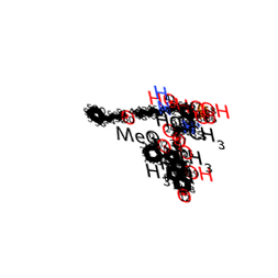 CO[C@@H](O[C@@H]1C[C@H]2[C@@H]3CCC4=CC(=O)C=C[C@]4(C)[C@H]3[C@@H](O)C[C@]2(C)[C@H]1C(=O)COC(=O)[C@H](C)C[N+](C)(C)Cc1cc(C(O)CNCCCCCCOCCCCc2ccccc2)ccc1OP(=O)(O)O)C1CCCCC1